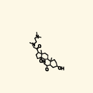 CN(C)CCN(C)CC(=O)C1CC[C@@]2(O)C3=CC(=O)C4CC(O)CCC4(C)C3CCC12C